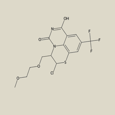 COCCOCC1C(Cl)Sc2cc(C(F)(F)F)cc3c(O)nc(=O)n1c23